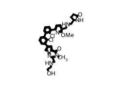 COc1nc(-c2cccc(-c3cccc(-c4cc5c(=O)n(C)c(CNCCO)nn5c4)c3Cl)c2Cl)ccc1CNCC1CCC(=O)N1